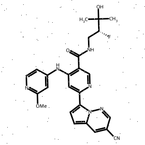 COc1cc(Nc2cc(-c3ccc4cc(C#N)cnn34)ncc2C(=O)NC[C@@H](F)C(C)(C)O)ccn1